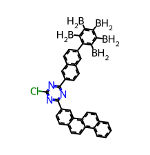 Bc1c(B)c(B)c(-c2ccc3cc(-c4nc(Cl)nc(-c5ccc6ccc7c8ccccc8ccc7c6c5)n4)ccc3c2)c(B)c1B